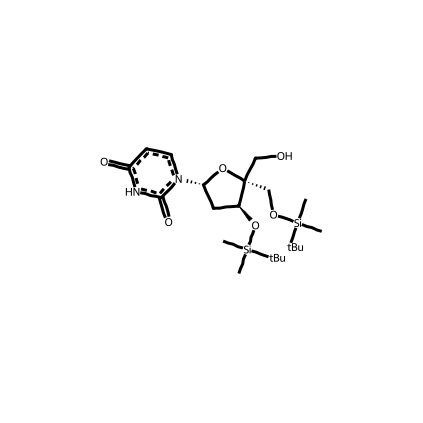 CC(C)(C)[Si](C)(C)OC[C@@]1(CO)O[C@@H](n2ccc(=O)[nH]c2=O)C[C@@H]1O[Si](C)(C)C(C)(C)C